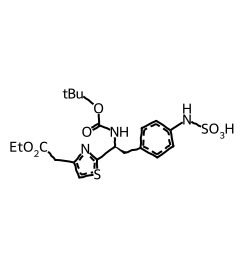 CCOC(=O)Cc1csc([C@H](Cc2ccc(NS(=O)(=O)O)cc2)NC(=O)OC(C)(C)C)n1